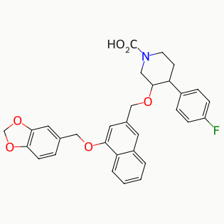 O=C(O)N1CCC(c2ccc(F)cc2)C(OCc2cc(OCc3ccc4c(c3)OCO4)c3ccccc3c2)C1